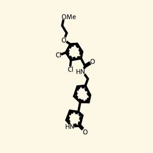 COCCOc1ccc(C(=O)NCc2ccc(-c3cc[nH]c(=O)c3)cc2)c(Cl)c1Cl